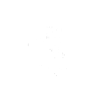 CC1=NCC(C)=C1c1cnc2c3ccc(C(C)(C)O)cc3n(C(c3cc(F)cc(F)c3)C3CCOCC3)c2c1